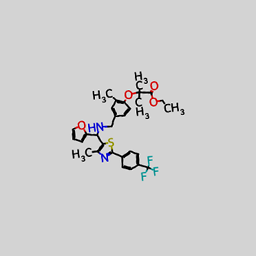 CCOC(=O)C(C)(C)Oc1ccc(CNC(c2ccco2)c2sc(-c3ccc(C(F)(F)F)cc3)nc2C)cc1C